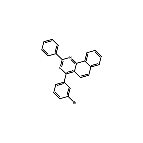 Brc1cccc(-c2nc(-c3ccccc3)nc3c2ccc2ccccc23)c1